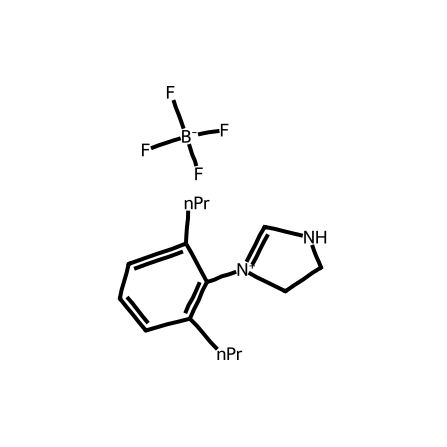 CCCc1cccc(CCC)c1[N+]1=CNCC1.F[B-](F)(F)F